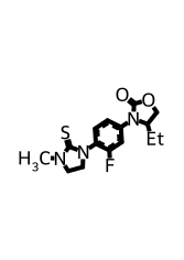 CCC1COC(=O)N1c1ccc(N2CCN(C)C2=S)c(F)c1